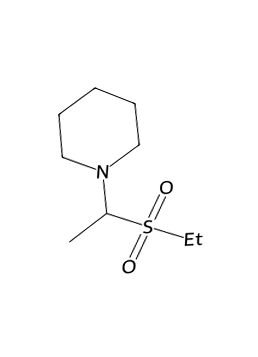 CCS(=O)(=O)C(C)N1CCCCC1